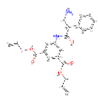 C=CCOC(=O)c1cc(NC(=O)C(CN)c2ccccc2)cc(C(=O)OCC=C)c1